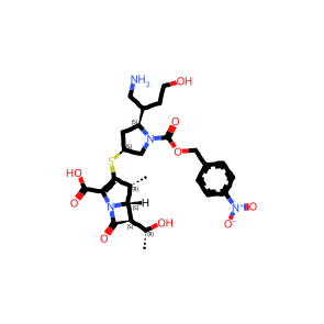 C[C@@H](O)[C@H]1C(=O)N2C(C(=O)O)=C(S[C@H]3C[C@@H](C(CN)CCO)N(C(=O)OCc4ccc([N+](=O)[O-])cc4)C3)[C@H](C)[C@H]12